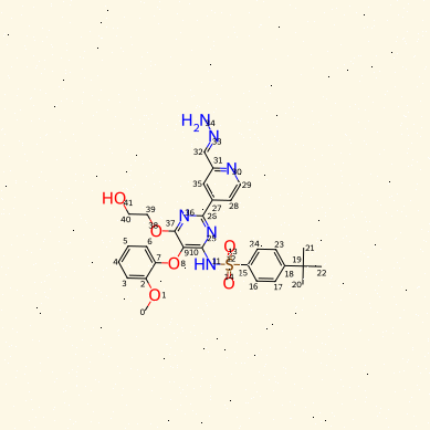 COc1ccccc1Oc1c(NS(=O)(=O)c2ccc(C(C)(C)C)cc2)nc(-c2ccnc(C=NN)c2)nc1OCCO